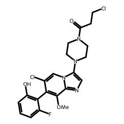 COc1c(-c2c(O)cccc2F)c(Cl)cn2c(N3CCN(C(=O)CCCl)CC3)cnc12